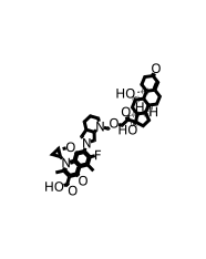 COc1c(N2CC3CCCN(COCC(=O)[C@@]4(O)CC[C@H]5[C@@H]6CCC7=CC(=O)CC[C@]7(C)C6[C@@H](O)C[C@@]54C)C3C2)c(F)c(C)c2c(=O)c(C(=O)O)c(C)n(C3CC3)c12